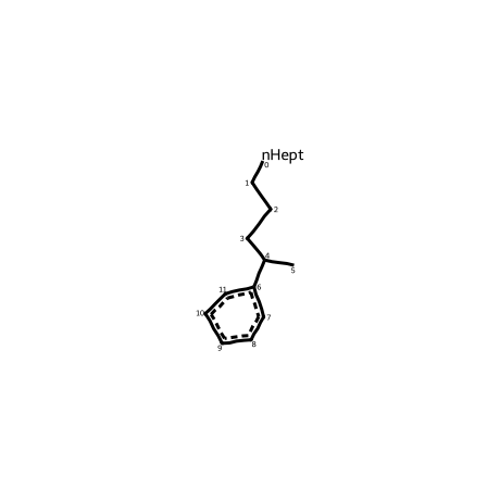 CCCCCCCCCCC(C)c1ccccc1